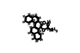 CC(OC(N)=O)c1c(-c2c(C(=O)O)ccc3ccccc23)ccc2ccccc12